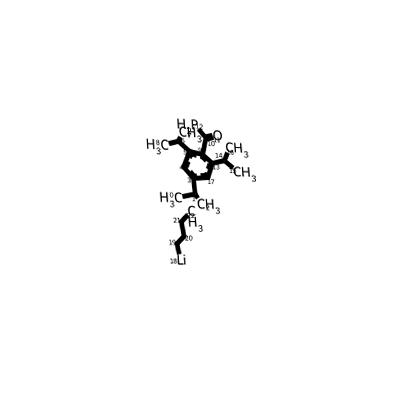 CC(C)c1cc(C(C)C)c(C(=O)P)c(C(C)C)c1.[Li][CH2]CCC